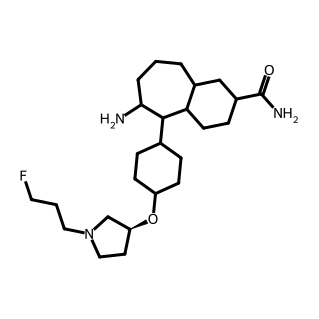 NC(=O)C1CCC2C(CCCC(N)C2C2CCC(O[C@H]3CCN(CCCF)C3)CC2)C1